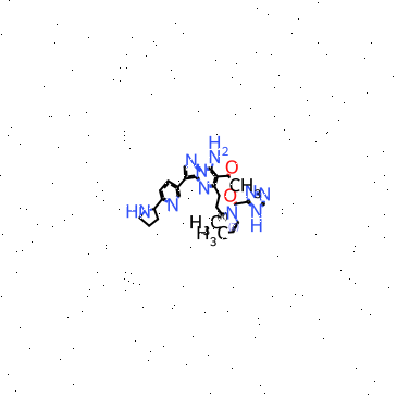 C/C=C\N(C(=O)c1nnc[nH]1)[C@H](C)CCc1nc2c(-c3ccc(C4CCCN4)nc3)cnn2c(N)c1C(C)=O